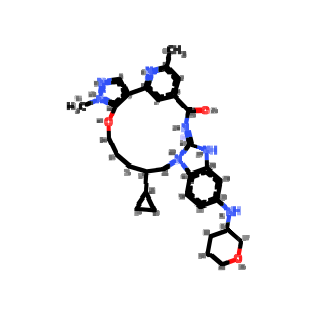 Cc1cc2cc(n1)-c1cnn(C)c1OCCCC(C1CC1)CN1/C(=N/C2=O)Nc2cc(NC3CCCOC3)ccc21